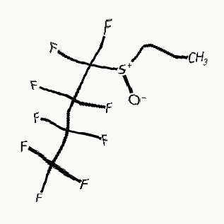 CC[S+]([O-])C(F)(F)C(F)(F)C(F)(F)C(F)(F)F